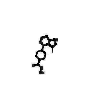 Cc1c[nH]c2ncnc(N3CCN(C(=O)OC(C)(C)C)CC3)c12